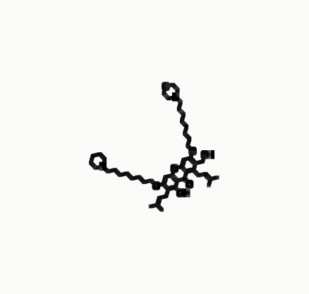 CC(C)=CCc1c(OCCCCCCCCN2CCCCC2)cc2oc3cc(OCCCCCCCCN4CCOCC4)c(CO)c(CC=C(C)C)c3c(=O)c2c1O